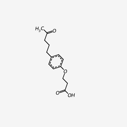 CC(=O)CCCc1ccc(OCCC(=O)O)cc1